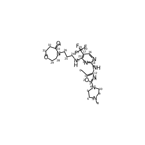 Cc1oc(N2CCN(C)CC2)nc1Nc1ncc(C(F)(F)F)c(NCCCN2CCOCCC2=O)n1